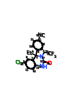 [C-]#[N+]c1ccc(C2(CC)c3cc(Cl)ccc3NC(=O)N2CC(F)(F)F)cc1